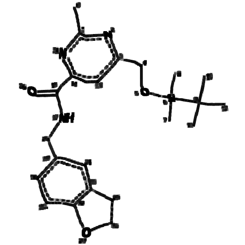 Cc1nc(CO[Si](C)(C)C(C)(C)C)cc(C(=O)NCc2ccc3c(c2)CCO3)n1